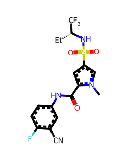 CC[C@@H](NS(=O)(=O)c1cc(C(=O)Nc2ccc(F)c(C#N)c2)n(C)c1)C(F)(F)F